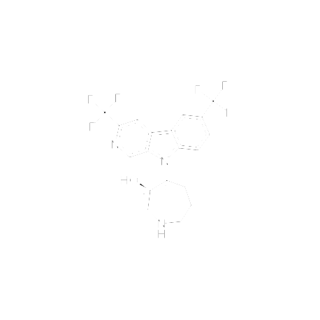 O[C@@H]1CNCCC[C@H]1n1c2ccc(C(F)(F)F)cc2c2cc(C(F)(F)F)ncc21